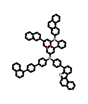 c1cc(-c2ccccc2N(c2cccc(-c3ccc4ccccc4c3)c2)c2ccc3c(ccc4ccccc43)c2)cc(N(c2ccc(-c3ccc(-c4cccc5ccccc45)cc3)cc2)c2ccc(-c3cccc4c3oc3ccc5ccccc5c34)cc2)c1